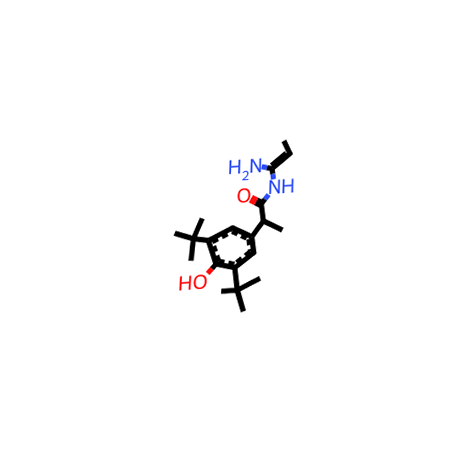 CC=C(N)NC(=O)C(C)c1cc(C(C)(C)C)c(O)c(C(C)(C)C)c1